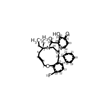 CC[C@@]1(C)C/C=C/COc2c(F)cccc2[C@@H](c2ccccc2)N2CN1C(=O)c1c(O)c(=O)ccn12